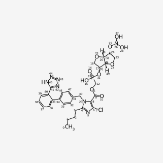 CCCCc1nc(Cl)c(C(=O)OCP(=O)(O)O[C@H]2CO[C@H]3[C@@H]2OC[C@H]3ON(O)O)n1Cc1ccc(-c2ccccc2-c2nnn[nH]2)cc1